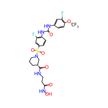 O=C(CCNC(=O)[C@H]1CCCN(S(=O)(=O)c2ccc(NC(=O)Nc3ccc(OC(F)(F)F)c(F)c3)c(F)c2)C1)NO